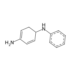 NC1=CCC(Nc2ccccc2)C=C1